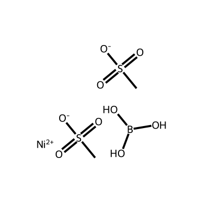 CS(=O)(=O)[O-].CS(=O)(=O)[O-].OB(O)O.[Ni+2]